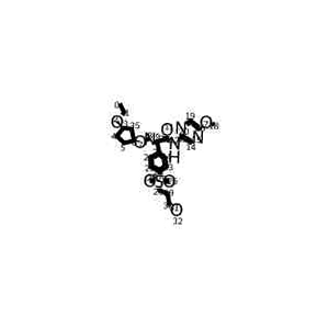 CCO[C@@H]1CC[C@@H](O/N=C(/C(=O)Nc2cnc(OC)cn2)c2ccc(S(=O)(=O)CCCOC)cc2)C1